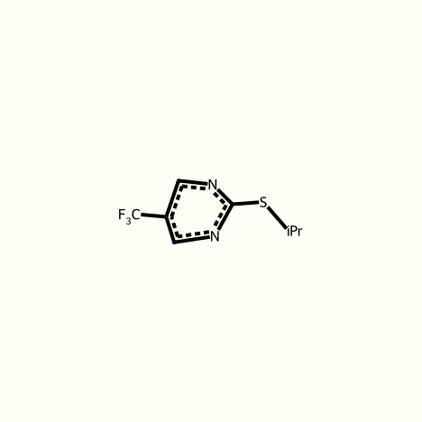 CC(C)Sc1ncc(C(F)(F)F)cn1